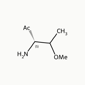 COC(C)[C@H](N)C(C)=O